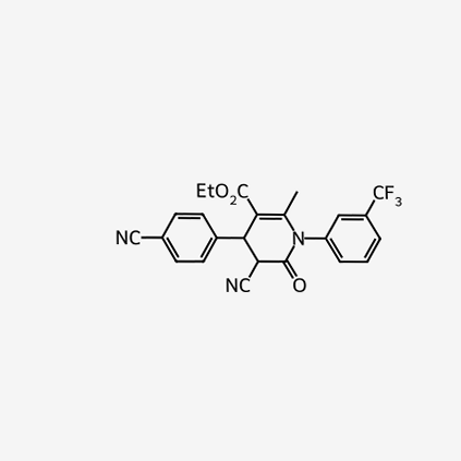 CCOC(=O)C1=C(C)N(c2cccc(C(F)(F)F)c2)C(=O)C(C#N)C1c1ccc(C#N)cc1